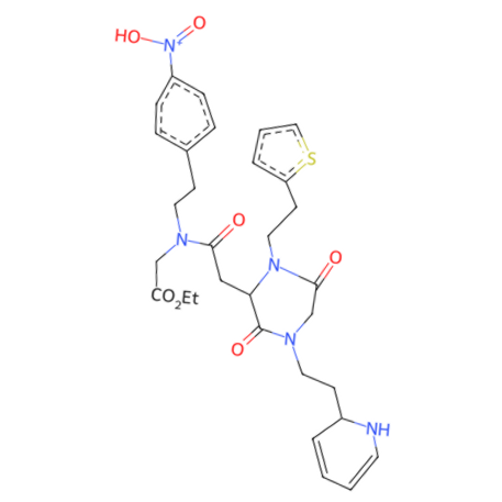 CCOC(=O)CN(CCc1ccc([N+](=O)O)cc1)C(=O)CC1C(=O)N(CCC2C=CC=CN2)CC(=O)N1CCc1cccs1